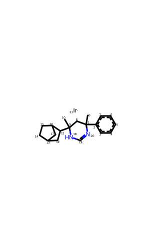 CC1(c2ccccc2)CC(C)(C2CC3CCC2C3)NC=N1.[Ir]